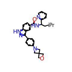 CC(C)CC(NC(=O)c1ccc2[nH]nc(-c3ccc(N4CC5(COC5)C4)cc3)c2c1)c1ccccn1